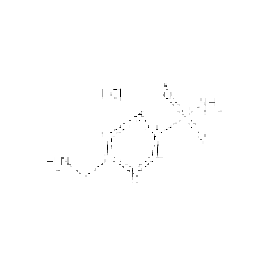 Cl.NCc1ccc(S(N)(=O)=O)cn1